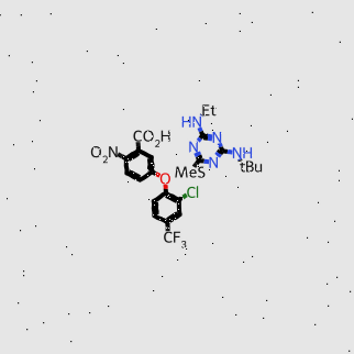 CCNc1nc(NC(C)(C)C)nc(SC)n1.O=C(O)c1cc(Oc2ccc(C(F)(F)F)cc2Cl)ccc1[N+](=O)[O-]